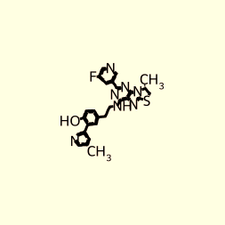 Cc1cncc(-c2cc(CCNc3nc(-c4cncc(F)c4)nc4c3nc3n4[C@H](C)CS3)ccc2O)c1